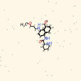 COCCCNc1ccc(NC(=O)C2CCCCN2)c2cccc(C=O)c12